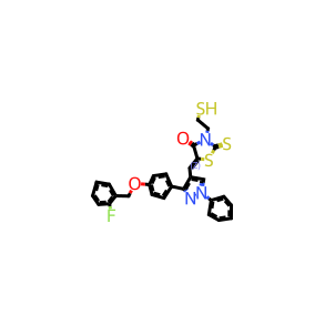 O=C1/C(=C/c2cn(-c3ccccc3)nc2-c2ccc(OCc3ccccc3F)cc2)SC(=S)N1CCS